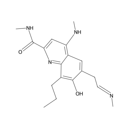 CCCc1c(O)c(CC=NC)cc2c(NC)cc(C(=O)NC)nc12